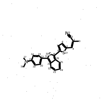 C/C(C#N)=C/c1ccc(-c2sc(-c3ccc(N(C)C)cc3)c3ccccc23)s1